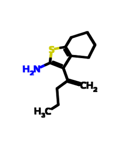 C=C(CCC)c1c(N)sc2c1CCCC2